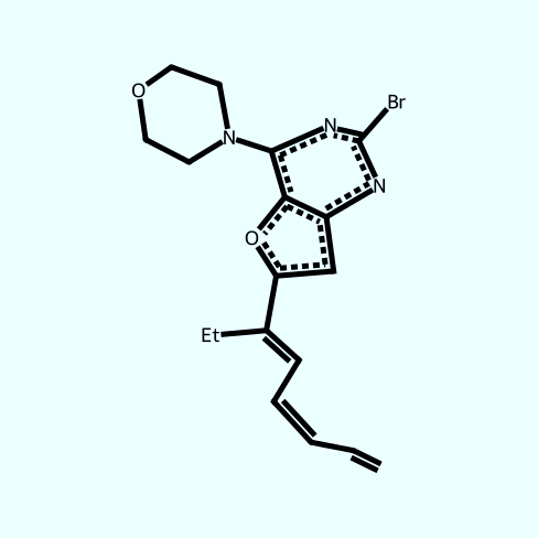 C=C/C=C\C=C(/CC)c1cc2nc(Br)nc(N3CCOCC3)c2o1